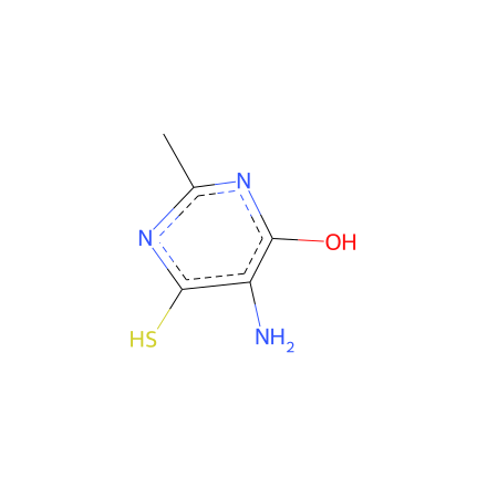 Cc1nc(O)c(N)c(S)n1